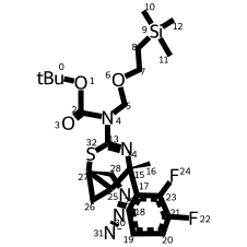 CC(C)(C)OC(=O)N(COCC[Si](C)(C)C)C1=N[C@](C)(c2cccc(F)c2F)C2C[C@]2(CN=[N+]=[N-])S1